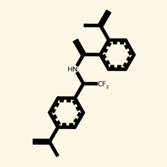 C=C(C)c1ccc(C(NC(=C)c2ccccc2C(=C)C)C(F)(F)F)cc1